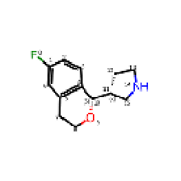 Fc1ccc2c(c1)CCO[C@H]2[C@@H]1CCNC1